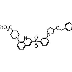 CCOC(=O)C1CCN(c2cccc3cc(S(=O)(=O)c4cccc(N5CCC(OCc6ccccc6)C5)c4)cnc23)CC1